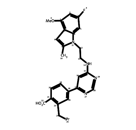 COc1cc(F)cc2c1cc(C)n2CCNc1cc(-c2ccc(C(=O)O)c(CC(C)C)c2)ncn1